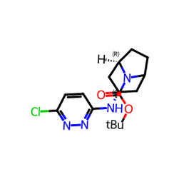 CC(C)(C)OC(=O)N1C2CC[C@@H]1C[C@@H](Nc1ccc(Cl)nn1)C2